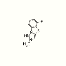 CN1C=C2Sc3c(F)cccc3N2N1